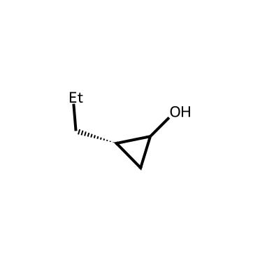 CCC[C@H]1CC1O